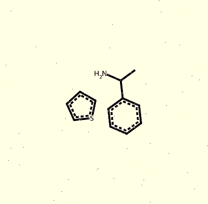 CC(N)c1ccccc1.c1ccsc1